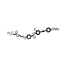 C=CC(=O)OCCCOC1=CC=C(C(=O)Oc2ccc(C#Cc3ccc(OC)cc3)cc2F)CC1